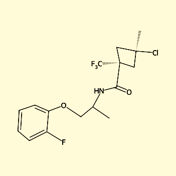 CC(COc1ccccc1F)NC(=O)[C@]1(C(F)(F)F)C[C@](C)(Cl)C1